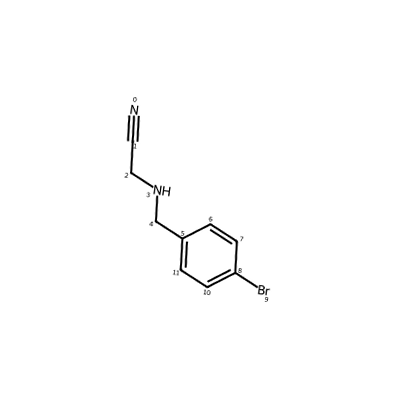 N#CCNCc1ccc(Br)cc1